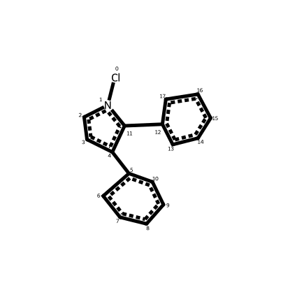 Cln1ccc(-c2ccccc2)c1-c1ccccc1